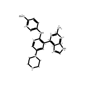 COc1ccc(Nc2ncc(N3CCOCC3)cc2-c2nc(C)nc3[nH]cnc23)cn1